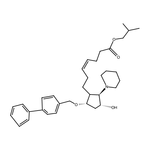 CC(C)COC(=O)CC/C=C\CCC1[C@@H](OCc2ccc(-c3ccccc3)cc2)C[C@@H](O)[C@@H]1N1CCCCC1